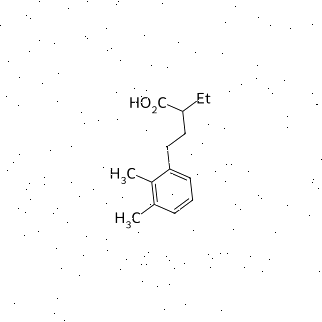 CCC(CCc1cccc(C)c1C)C(=O)O